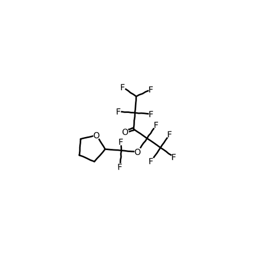 O=C(C(F)(F)C(F)F)C(F)(OC(F)(F)C1CCCO1)C(F)(F)F